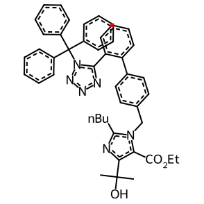 CCCCc1nc(C(C)(C)O)c(C(=O)OCC)n1Cc1ccc(-c2ccccc2-c2nnnn2C(c2ccccc2)(c2ccccc2)c2ccccc2)cc1